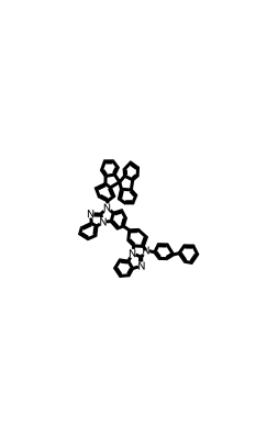 c1ccc(-c2ccc(-n3c4ccc(-c5ccc6c(c5)n5c7ccccc7nc5n6-c5ccc6c(c5)C5(c7ccccc7-c7ccccc75)c5ccccc5-6)cc4n4c5ccccc5nc34)cc2)cc1